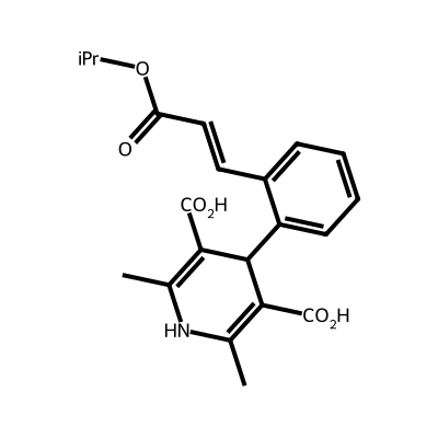 CC1=C(C(=O)O)C(c2ccccc2/C=C/C(=O)OC(C)C)C(C(=O)O)=C(C)N1